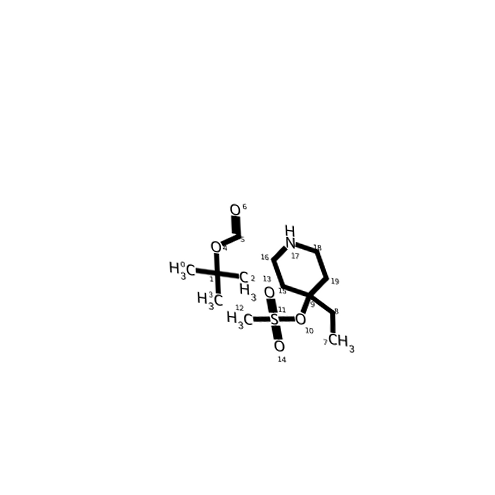 CC(C)(C)OC=O.CCC1(OS(C)(=O)=O)CCNCC1